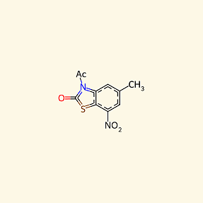 CC(=O)n1c(=O)sc2c([N+](=O)[O-])cc(C)cc21